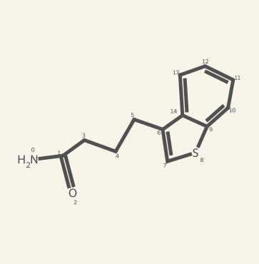 NC(=O)CCCc1csc2ccccc12